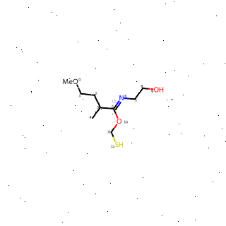 COCCC(C)/C(=N/CCO)OCS